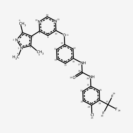 Cc1nn(C)c(C)c1-c1cc(Oc2cccc(NC(=O)Nc3ccc(Cl)c(C(F)(F)F)c3)c2)ncn1